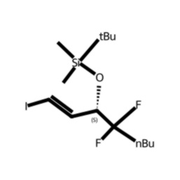 CCCCC(F)(F)[C@H](C=CI)O[Si](C)(C)C(C)(C)C